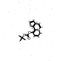 CC(C)(C)OC(=O)OC1=C2c3sccc3C=CN2CC=C1